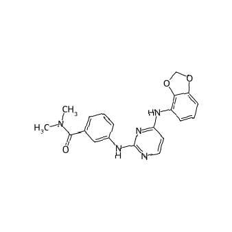 CN(C)C(=O)c1cccc(Nc2nccc(Nc3cccc4c3OCO4)n2)c1